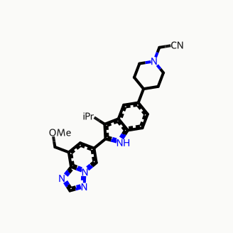 COCc1cc(-c2[nH]c3ccc(C4CCN(CC#N)CC4)cc3c2C(C)C)cn2ncnc12